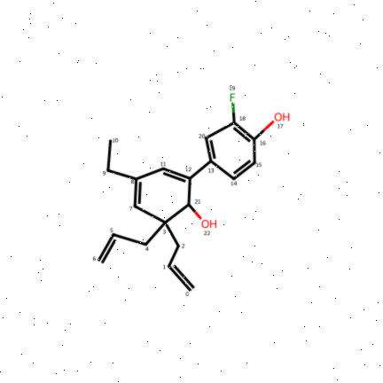 C=CCC1(CC=C)C=C(CC)C=C(c2ccc(O)c(F)c2)C1O